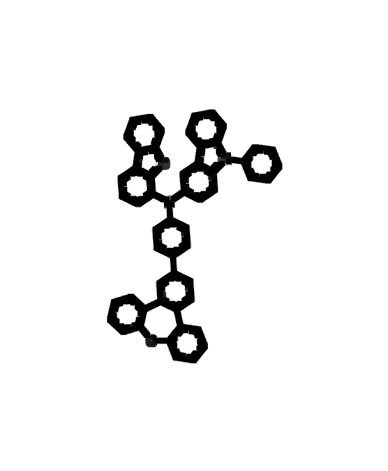 c1ccc(-n2c3ccccc3c3cc(N(c4ccc(-c5ccc6c(c5)-c5ccccc5Oc5ccccc5-6)cc4)c4cccc5c4oc4ccccc45)ccc32)cc1